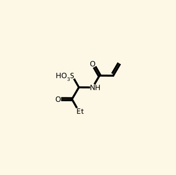 C=CC(=O)NC(C(=O)CC)S(=O)(=O)O